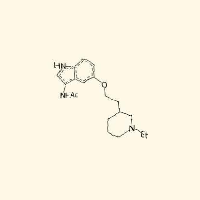 CCN1CCCC(CCOc2ccc3[nH]cc(NC(C)=O)c3c2)C1